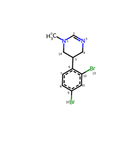 CN1C=NCC(c2ccc(Br)cc2Br)C1